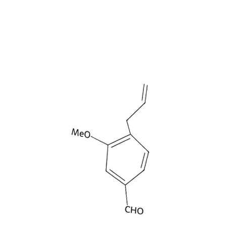 C=CCc1ccc(C=O)cc1OC